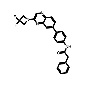 O=C(Cc1ccccc1)Nc1ccc(-c2ccc3ncc(N4CC(F)(F)C4)nc3c2)cc1